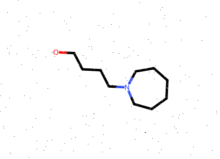 [O]CCCCN1CCCCCC1